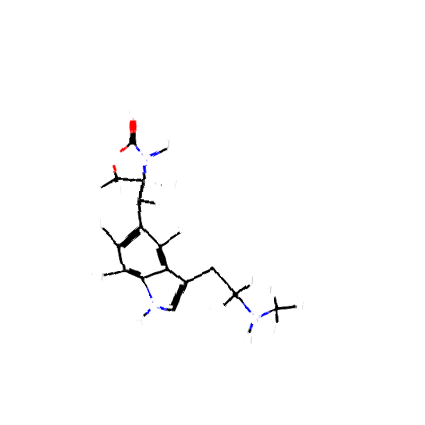 [2H]c1c(C([2H])([2H])[C@]2([2H])N([2H])C(=O)OC2([2H])[2H])c([2H])c2c(CC([2H])([2H])N(C)C([2H])([2H])[2H])cn([2H])c2c1[2H]